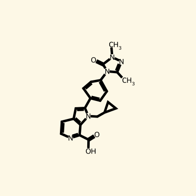 Cc1nn(C)c(=O)n1-c1ccc(-c2cc3ccnc(C(=O)O)c3n2CC2CC2)cc1